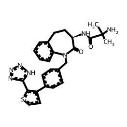 CC(C)(N)C(=O)N[C@@H]1CCc2ccccc2N(Cc2ccc(-c3ccsc3-c3nnn[nH]3)cc2)C1=O